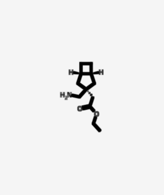 CCOC(=O)C[C@@]1(CN)C[C@H]2CC[C@H]2C1